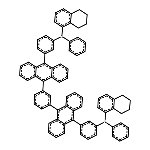 c1ccc(N(c2cccc(-c3c4ccccc4c(-c4cccc(-c5c6ccccc6c(-c6cccc(N(c7ccccc7)c7cccc8c7CCCC8)c6)c6ccccc56)c4)c4ccccc34)c2)c2cccc3c2CCCC3)cc1